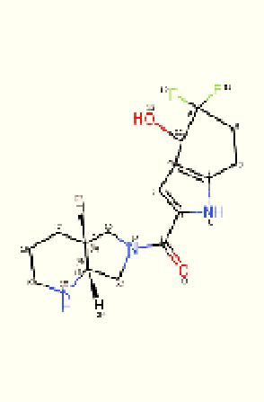 O=C(c1cc2c([nH]1)CCC(F)(F)C2O)N1C[C@H]2CCCN[C@H]2C1